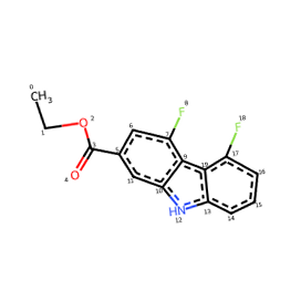 CCOC(=O)c1cc(F)c2c(c1)[nH]c1cccc(F)c12